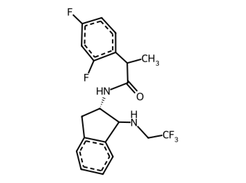 CC(C(=O)N[C@H]1Cc2ccccc2C1NCC(F)(F)F)c1ccc(F)cc1F